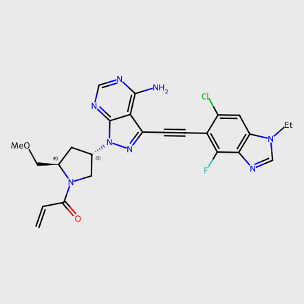 C=CC(=O)N1C[C@@H](n2nc(C#Cc3c(Cl)cc4c(ncn4CC)c3F)c3c(N)ncnc32)C[C@@H]1COC